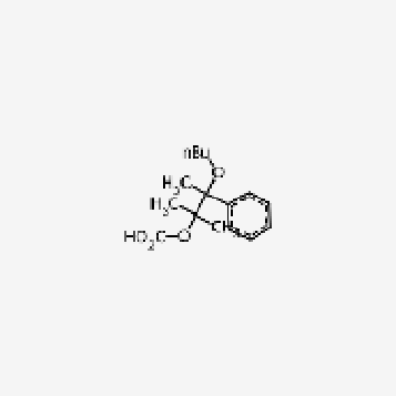 CCCCOC(C)(c1ccccc1)C(C)(C)OC(=O)O